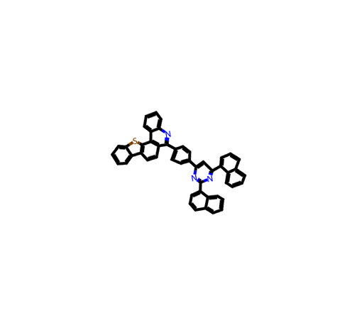 c1ccc2c(-c3cc(-c4ccc(-c5nc6ccccc6c6c5ccc5c7ccccc7sc56)cc4)nc(-c4cccc5ccccc45)n3)cccc2c1